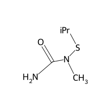 CC(C)SN(C)C(N)=O